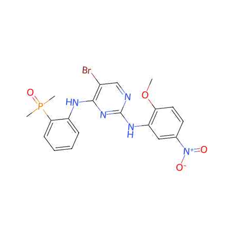 COc1ccc([N+](=O)[O-])cc1Nc1ncc(Br)c(Nc2ccccc2P(C)(C)=O)n1